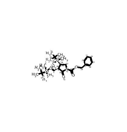 CC(C)(C)[Si](C)(C)OC[C@@H]1C(=O)N(C(=O)OCc2ccccc2)C[C@@H]1[Si](C)(C)C(C)(C)C